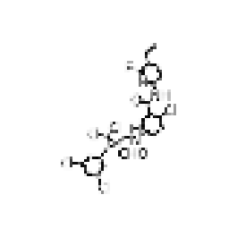 C=Cc1ccc(NC(=O)c2cc(NCC3(C=O)C(c4cc(Cl)cc(Cl)c4)C3(Cl)Cl)ccc2Cl)nc1F